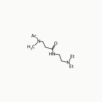 CCN(CC)CCNC(=O)CCN(C)C(C)=O